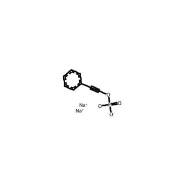 O=P([O-])([O-])OC#Cc1ccccc1.[Na+].[Na+]